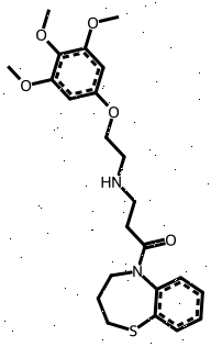 COc1cc(OCCNCCC(=O)N2CCCSc3ccccc32)cc(OC)c1OC